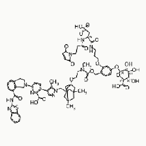 Cc1c(-c2ccc(N3CCc4cccc(C(=O)Nc5nc6ccccc6s5)c4C3)nc2C(=O)O)cnn1CC12CC3(C)CC(C)(C1)CC(OCCN(C)C(=O)OCc1ccc(O[C@@H]4O[C@H](C(=O)O)[C@@H](O)[C@H](O)[C@H]4O)cc1OCCCNC(=O)[C@H](CS(=O)(=O)O)NC(=O)CCN1C(=O)C=CC1=O)(C3)C2